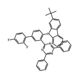 CC(C)(C)c1ccc2c3ccccc3n(-c3ccc(-c4ccc(F)cc4F)cc3-c3nc(-c4ccccc4)nc(-c4ccccc4)n3)c2c1